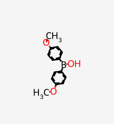 COc1ccc(B(O)c2ccc(OC)cc2)cc1